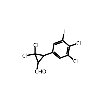 O=CC1C(c2cc(Cl)c(Cl)c(I)c2)C1(Cl)Cl